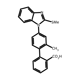 CSc1nc2ccccc2n1-c1ccc(-c2ccccc2C(=O)O)c(C)c1